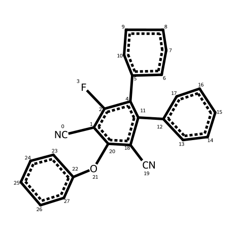 N#Cc1c(F)c(-c2ccccc2)c(-c2ccccc2)c(C#N)c1Oc1ccccc1